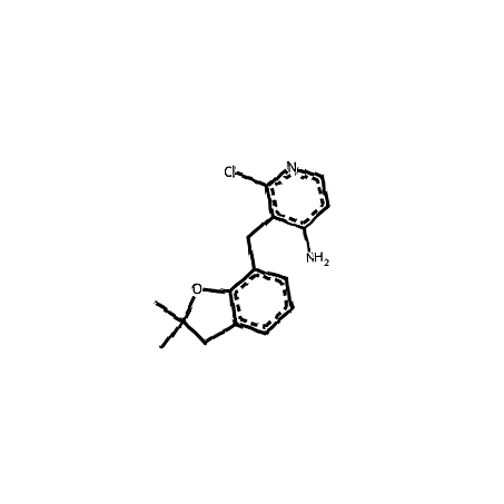 CC1(C)Cc2cccc(Cc3c(N)ccnc3Cl)c2O1